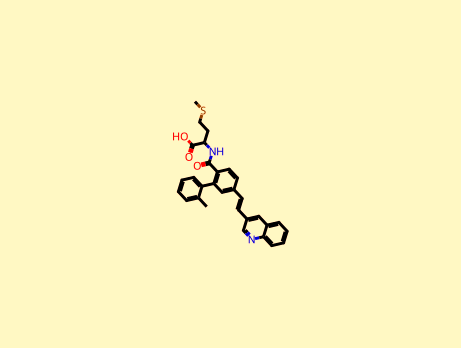 CSCCC(NC(=O)c1ccc(C=Cc2cnc3ccccc3c2)cc1-c1ccccc1C)C(=O)O